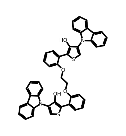 Oc1c(-n2c3ccccc3c3ccccc32)csc1-c1ccccc1OCCOc1ccccc1-c1scc(-n2c3ccccc3c3ccccc32)c1O